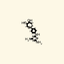 Nc1nc(N)nc(Nc2ccc([As]3SCC(O)C(O)CS3)cc2)n1